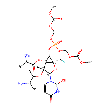 CC(C)OC(=O)OCOP(=O)(OCOC(=O)OC(C)C)OC1[C@]2(OC(=O)C(N)C(C)C)[C@@](C)(OC(C)C(N)C(C)C)[C@H](N3C=CC(=O)NC3O)O[C@]12CF